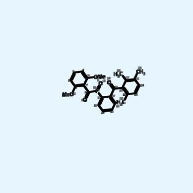 COc1cccc(OC)c1C(=O)[P](=O)c1ccccc1C(=O)c1c(C)ccc(C)c1C